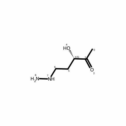 CC(=O)[C@@H](O)CCNN